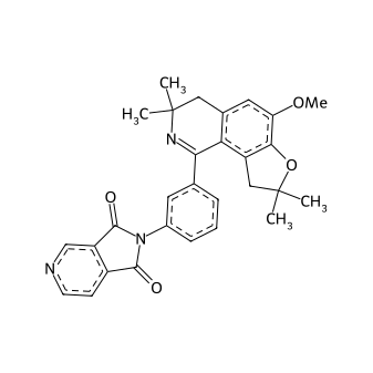 COc1cc2c(c3c1OC(C)(C)C3)C(c1cccc(N3C(=O)c4ccncc4C3=O)c1)=NC(C)(C)C2